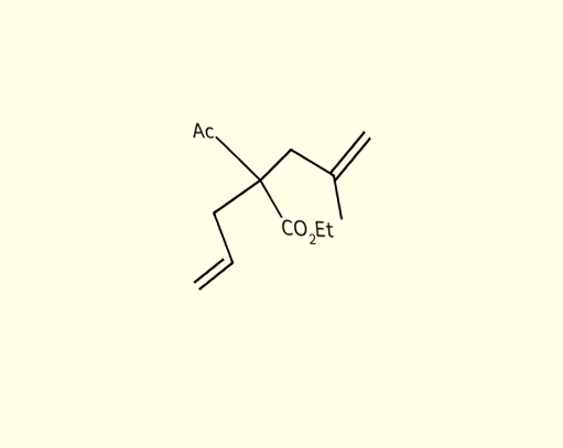 C=CCC(CC(=C)C)(C(C)=O)C(=O)OCC